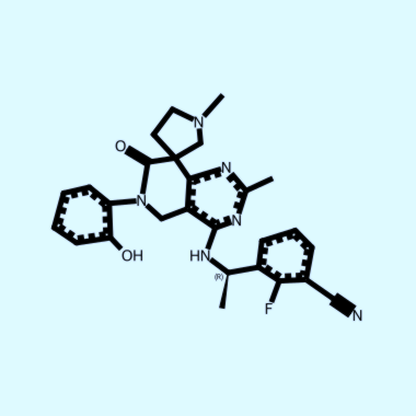 Cc1nc(N[C@H](C)c2cccc(C#N)c2F)c2c(n1)C1(CCN(C)C1)C(=O)N(c1ccccc1O)C2